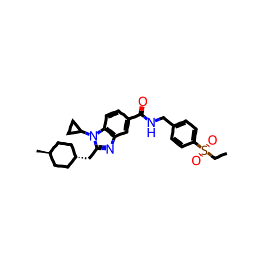 CCS(=O)(=O)c1ccc(CNC(=O)c2ccc3c(c2)nc(C[C@H]2CC[C@H](C)CC2)n3C2CC2)cc1